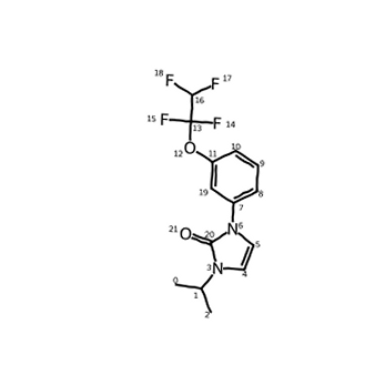 CC(C)n1ccn(-c2cccc(OC(F)(F)C(F)F)c2)c1=O